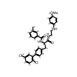 COc1ccc(NCCNC(=O)C(Cc2ccc(-c3cc(Cl)ccc3Cl)cc2)NC(=O)c2cccc(C)c2)cc1